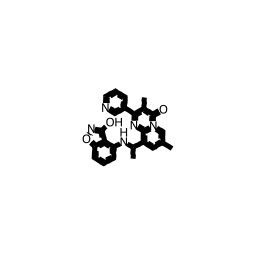 Cc1cc(C(C)Nc2cccc3onc(O)c23)c2nc(-c3cccnc3)c(C)c(=O)n2c1